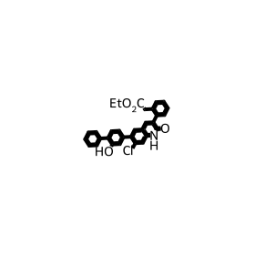 CCOC(=O)Cc1ccccc1-c1cc2cc(-c3ccc(-c4ccccc4)c(O)c3)c(Cl)cc2[nH]c1=O